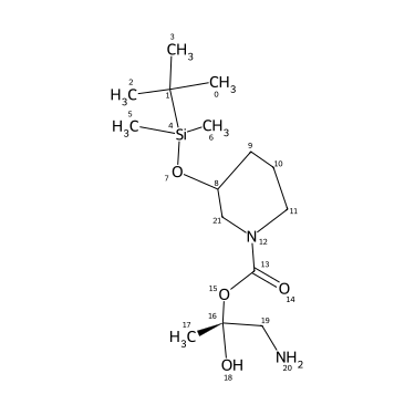 CC(C)(C)[Si](C)(C)OC1CCCN(C(=O)O[C@@](C)(O)CN)C1